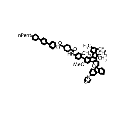 CCCCCC1CCC(c2ccc(-c3ccc(OC(=O)C4CCC(C(=O)Nc5ccc(-c6cc7c8c(c9c(c7cc6OC)OC(c6ccccc6)(c6ccc(N7CCOCC7)cc6)C=C9)C(C)(C)c6c-8cc(C(F)(F)F)cc6C(F)(F)F)c(C)c5)CC4)cc3)cc2)CC1